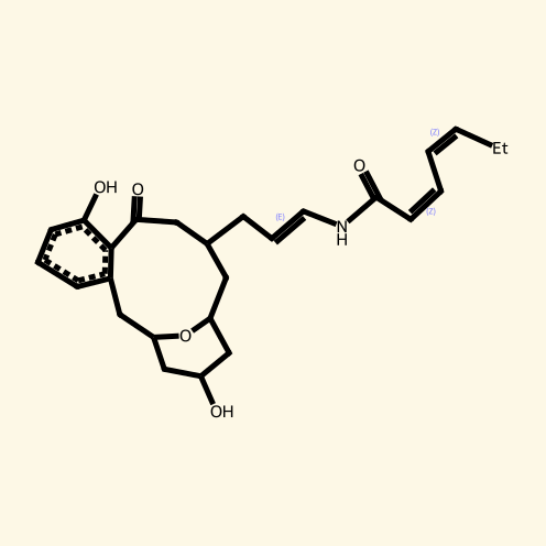 CC/C=C\C=C/C(=O)N/C=C/CC1CC(=O)c2c(O)cccc2CC2CC(O)CC(C1)O2